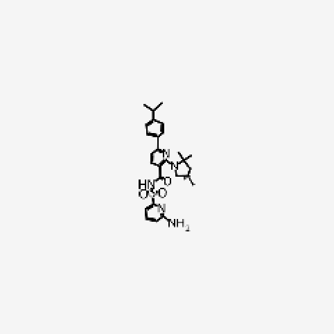 CC(C)c1ccc(-c2ccc(C(=O)NS(=O)(=O)c3cccc(N)n3)c(N3C[C@H](C)CC3(C)C)n2)cc1